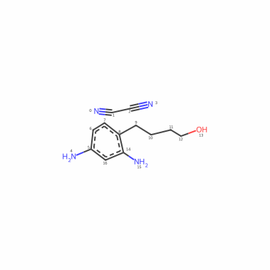 N#CC#N.Nc1ccc(CCCCO)c(N)c1